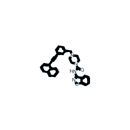 O=C(Nc1noc2ccccc12)N1CCN(Cc2cccc(C#Cc3cccc4ccccc34)c2)CC1